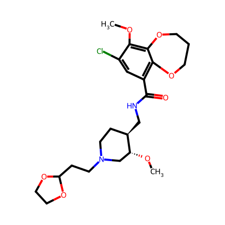 COc1c(Cl)cc(C(=O)NC[C@@H]2CCN(CCC3OCCO3)C[C@H]2OC)c2c1OCCCO2